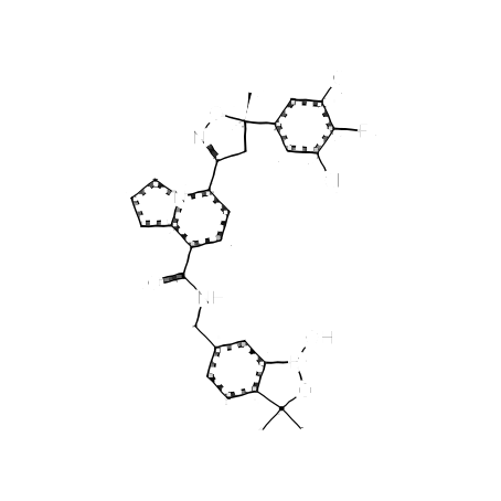 CC1(C)OB(O)c2cc(CNC(=O)c3ccc(C4=NO[C@](C)(c5cc(Cl)c(F)c(Cl)c5)C4)n4cccc34)ccc21